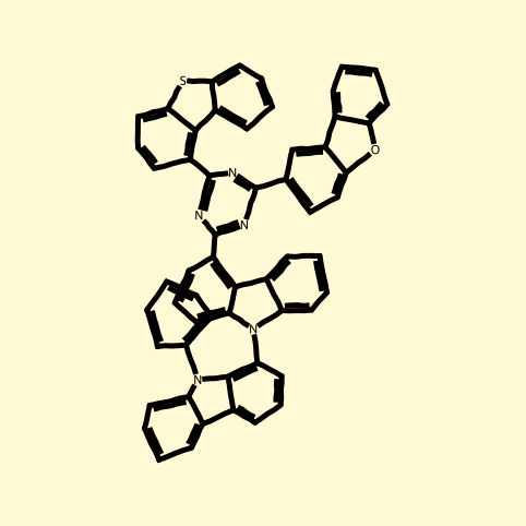 c1ccc(-n2c3ccccc3c3cccc(-n4c5ccccc5c5c(-c6nc(-c7ccc8oc9ccccc9c8c7)nc(-c7cccc8sc9ccccc9c78)n6)cccc54)c32)cc1